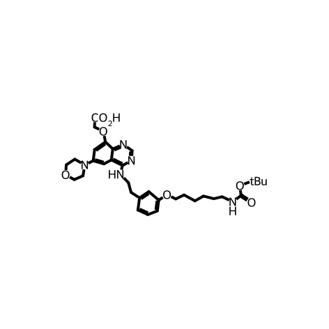 CC(C)(C)OC(=O)NCCCCCCOc1cccc(CCNc2ncnc3c(OCC(=O)O)cc(N4CCOCC4)cc23)c1